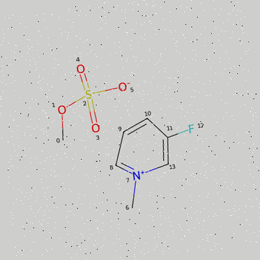 COS(=O)(=O)[O-].C[n+]1cccc(F)c1